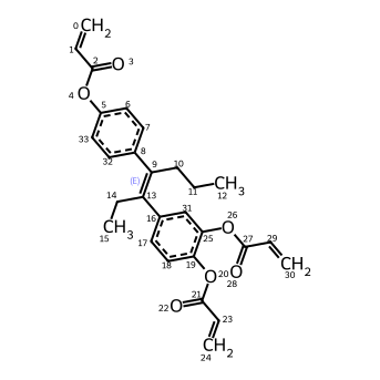 C=CC(=O)Oc1ccc(/C(CCC)=C(\CC)c2ccc(OC(=O)C=C)c(OC(=O)C=C)c2)cc1